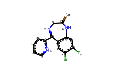 Fc1cc2c(cc1Br)C(c1ccccn1)=NCC(=S)N2